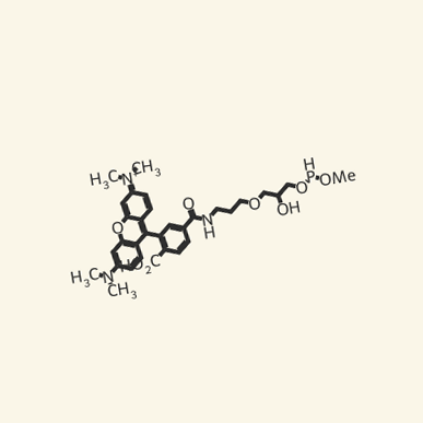 COPOCC(O)COCCCNC(=O)c1ccc(C(=O)O)c(-c2c3ccc(=[N+](C)C)cc-3oc3cc(N(C)C)ccc23)c1